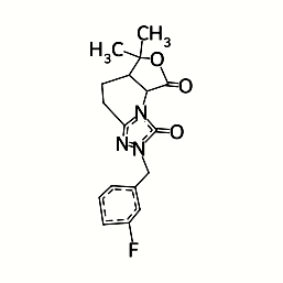 CC1(C)OC(=O)C2C1CCc1nn(Cc3cccc(F)c3)c(=O)n12